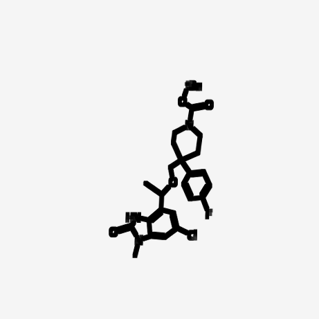 CC(OCC1(c2ccc(F)cc2)CCN(C(=O)OC(C)(C)C)CC1)c1cc(Cl)cc2c1[nH]c(=O)n2C